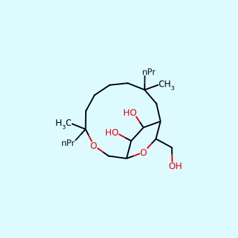 CCCC1(C)CCCCC(C)(CCC)OCC2OC(CO)C(C1)C(O)C2O